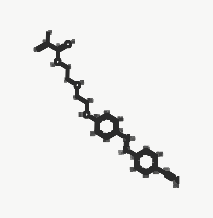 C=C(C)C(=O)OCCOCCOc1ccc(N=Nc2ccc(C#N)cc2)cc1